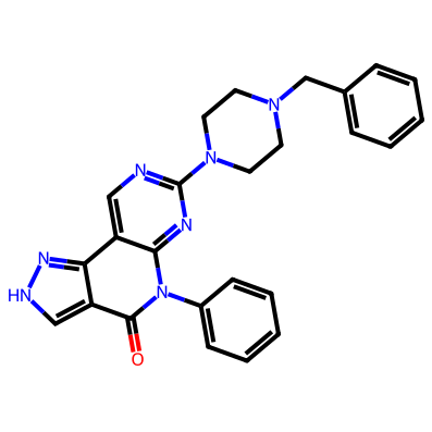 O=c1c2c[nH]nc2c2cnc(N3CCN(Cc4ccccc4)CC3)nc2n1-c1ccccc1